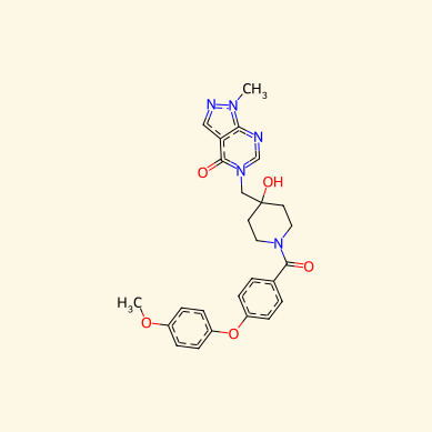 COc1ccc(Oc2ccc(C(=O)N3CCC(O)(Cn4cnc5c(cnn5C)c4=O)CC3)cc2)cc1